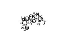 CCc1sc2ncnc(OC(Cc3cccc4c3OCC4)C(=O)O)c2c1I